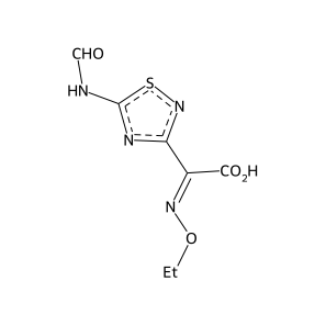 CCO/N=C(\C(=O)O)c1nsc(NC=O)n1